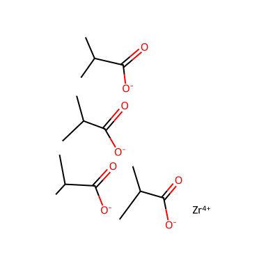 CC(C)C(=O)[O-].CC(C)C(=O)[O-].CC(C)C(=O)[O-].CC(C)C(=O)[O-].[Zr+4]